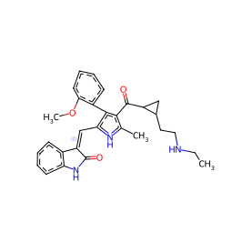 CCNCCC1CC1C(=O)c1c(C)[nH]c(/C=C2\C(=O)Nc3ccccc32)c1-c1ccccc1OC